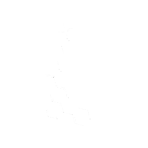 CS(=O)(=O)NCCCNC(=O)c1cnc2c(C3=CC[C@@H](C(F)(F)F)CC3)cccc2c1